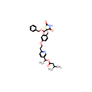 CC(C)CC(=O)OC(C)c1ccc(CCOc2ccc(C[C@]3(C(=O)OCc4ccccc4)SC(=O)NC3=O)cc2)nc1